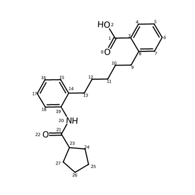 O=C(O)c1ccccc1CCCCCc1ccccc1NC(=O)C1CCCC1